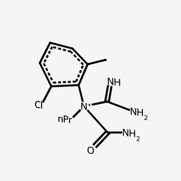 CCC[N+](C(=N)N)(C(N)=O)c1c(C)cccc1Cl